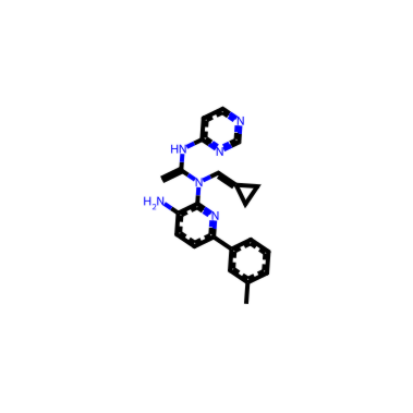 C=C(Nc1ccncn1)N(C=C1CC1)c1nc(-c2cccc(C)c2)ccc1N